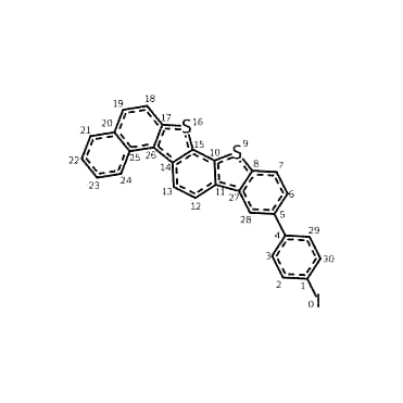 Ic1ccc(-c2ccc3sc4c(ccc5c4sc4ccc6ccccc6c45)c3c2)cc1